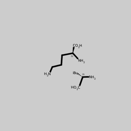 CCC(C)[C@H](N)C(=O)O.NCCC[C@H](N)C(=O)O